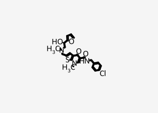 CN(Cc1cc2c(=O)c(C(=O)NCc3ccc(Cl)cc3)cn(C)c2s1)C[C@@H](O)c1ccco1